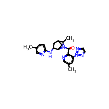 Cc1ccc(NC2CC3CC2N(C(=O)c2ncc(C)cc2-n2nccn2)C3C)nc1